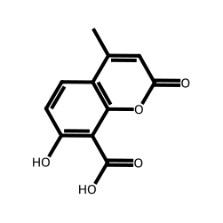 Cc1cc(=O)oc2c(C(=O)O)c(O)ccc12